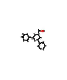 O=[C]c1cc(-c2ccccc2)cc(-c2ccccc2)c1